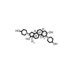 C[C@]12C[C@H](N3CCC(O)CC3)[C@@H](O)C[C@@H]1CC[C@@H]1[C@@H]2CC[C@]2(C)[C@@H](O)[C@@H](N3CCC(O)CC3)C[C@@H]12